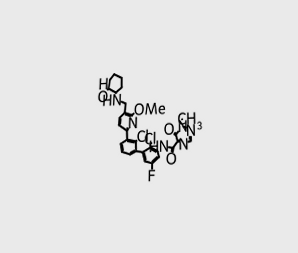 COc1nc(-c2cccc(-c3cc(F)cc(NC(=O)c4ncnn(C)c4=O)c3Cl)c2Cl)ccc1CNC1CCCCC1O